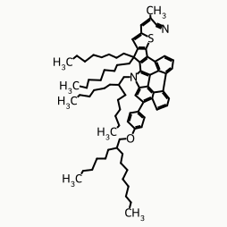 CCCCCCCCC(CCCCCC)COc1ccc(-c2cc3c4c5c2cccc5c2cccc5c6c(c(c4c52)n3CC(CCCCCC)CCCCCC)C(CCCCCCCC)(CCCCCCCC)c2cc(C=C(C)C#N)sc2-6)cc1